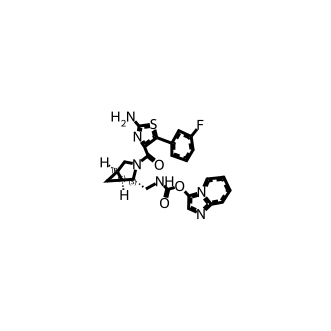 Nc1nc(C(=O)N2C[C@@H]3C[C@@H]3[C@H]2CNC(=O)Oc2cnc3ccccn23)c(-c2cccc(F)c2)s1